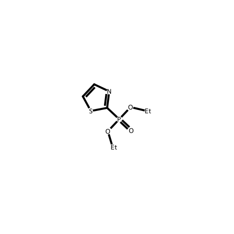 CCOP(=O)(OCC)c1nccs1